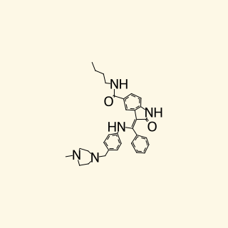 CCCCNC(=O)c1ccc2c(c1)C(=C(Nc1ccc(CN3CCN(C)CC3)cc1)c1ccccc1)C(=O)N2